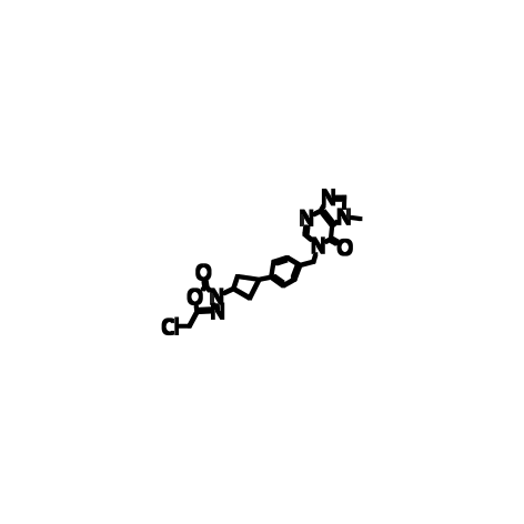 Cn1cnc2ncn(Cc3ccc(C4CC(n5nc(CCl)oc5=O)C4)cc3)c(=O)c21